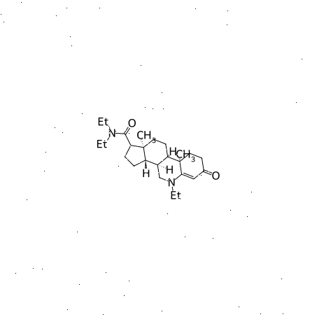 CCN(CC)C(=O)C1CC[C@H]2[C@@H]3CN(CC)C4=CC(=O)CC[C@]4(C)[C@@H]3CC[C@]12C